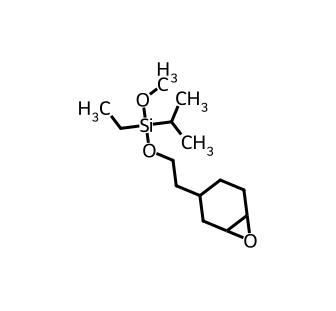 CC[Si](OC)(OCCC1CCC2OC2C1)C(C)C